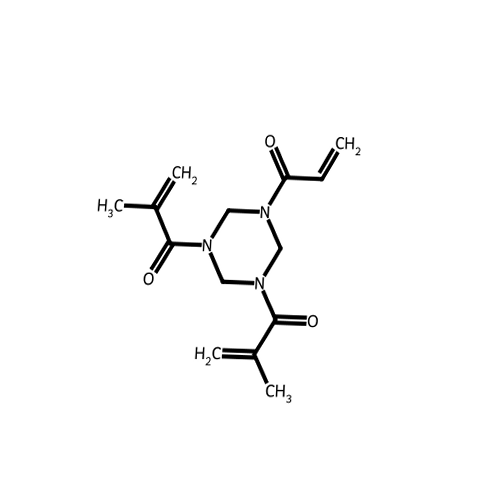 C=CC(=O)N1CN(C(=O)C(=C)C)CN(C(=O)C(=C)C)C1